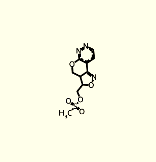 CS(=O)(=O)OCC1ON=C2c3ccnnc3OCC21